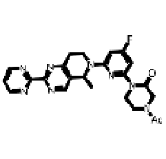 CC(=O)N1CCN(c2cc(F)cc(N3CCc4nc(-c5ncccn5)ncc4C3C)n2)C(=O)C1